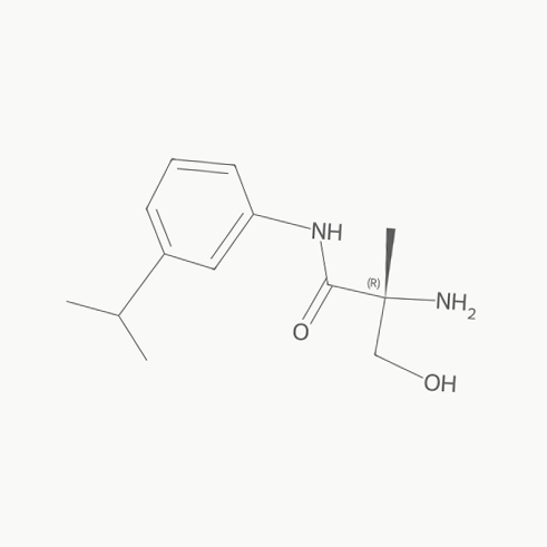 CC(C)c1cccc(NC(=O)[C@](C)(N)CO)c1